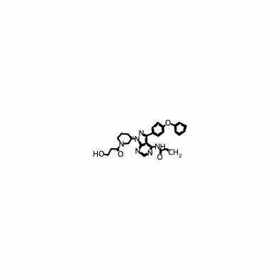 C=CC(=O)Nc1ncnc2c1c(-c1ccc(Oc3ccccc3)cc1)nn2[C@@H]1CCCN(C(=O)CCO)C1